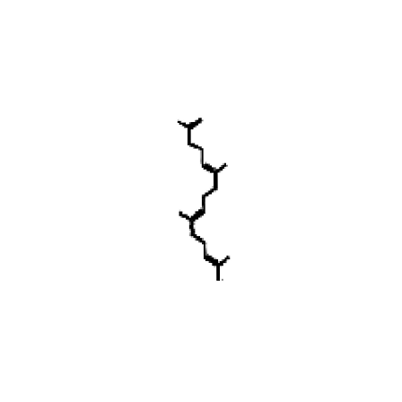 [CH2]C(C)=CCCC(C)=CCCC(C)=CCCC(=C)C